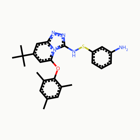 Cc1cc(C)c(Oc2cc(C(C)(C)C)cc3nnc(NSc4cccc(N)c4)n23)c(C)c1